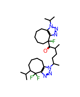 CC(CCC(C)n1nnc2c1CCCCC(C(C)C)C2(F)F)C(=O)C1(F)CCCCCc2c1nnn2C(C)C